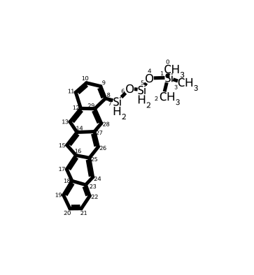 C[Si](C)(C)O[SiH2]O[SiH2]c1cccc2cc3cc4cc5ccccc5cc4cc3cc12